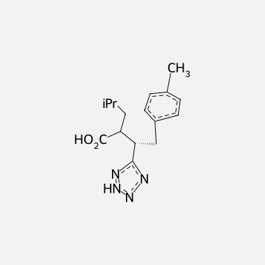 Cc1ccc(C[C@H](c2nn[nH]n2)C(CC(C)C)C(=O)O)cc1